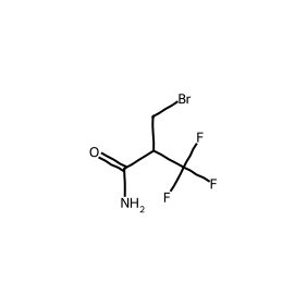 NC(=O)C(CBr)C(F)(F)F